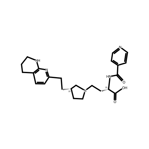 O=C(N[C@@H](CCN1CC[C@H](CCc2ccc3c(n2)NCCC3)C1)C(=O)O)c1ccncc1